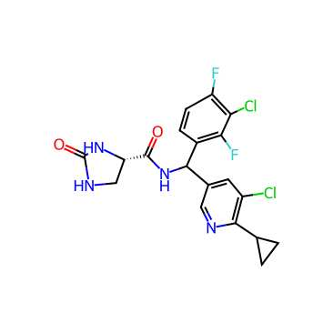 O=C1NC[C@@H](C(=O)NC(c2cnc(C3CC3)c(Cl)c2)c2ccc(F)c(Cl)c2F)N1